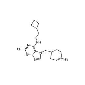 CCC1=CCC(Cn2cnc3nc(Cl)nc(NCCC4CCC4)c32)CC1